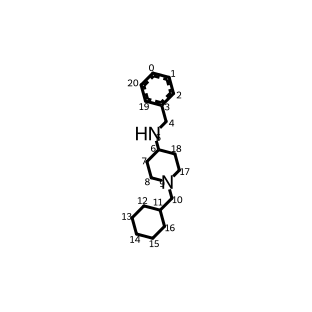 c1ccc(CNC2CCN(CC3CCCCC3)CC2)cc1